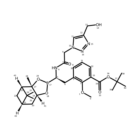 COc1c(C[C@H](NC(=O)Cn2cc(CO)nn2)B2O[C@@H]3C[C@@H]4C[C@@H](C4(C)C)[C@]3(C)O2)cccc1C(=O)OC(C)(C)C